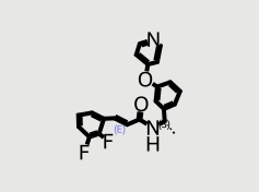 C[C@H](NC(=O)/C=C/c1cccc(F)c1F)c1cccc(Oc2ccncc2)c1